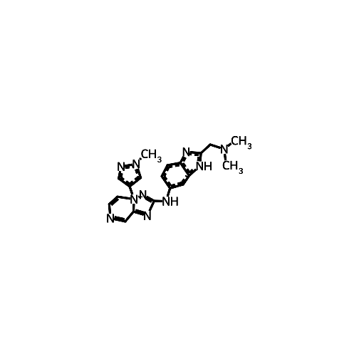 CN(C)Cc1nc2ccc(NC3=N[N+]4(c5cnn(C)c5)C=CN=CC4=N3)cc2[nH]1